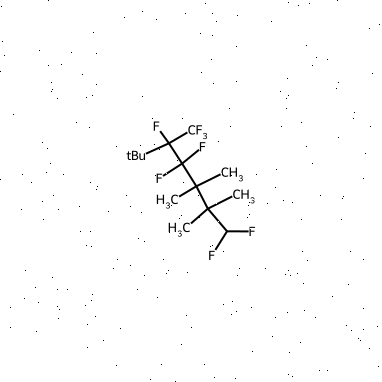 CC(C)(C)C(F)(C(F)(F)F)C(F)(F)C(C)(C)C(C)(C)C(F)F